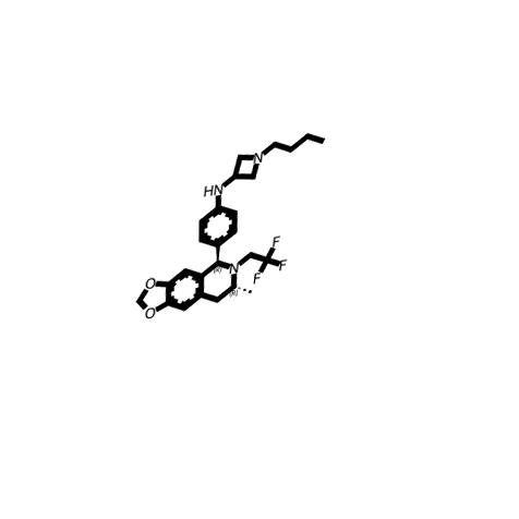 CCCCN1CC(Nc2ccc([C@@H]3c4cc5c(cc4C[C@@H](C)N3CC(F)(F)F)OCO5)cc2)C1